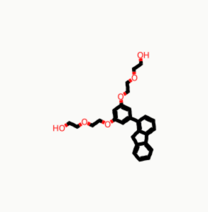 OCCOCCOc1cc(OCCOCCO)cc(-c2cccc3c2Cc2ccccc2-3)c1